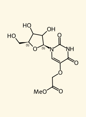 COC(=O)COc1cn([C@H]2O[C@@H](CO)C(O)C2O)c(=O)[nH]c1=O